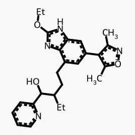 CCOc1nc2c(CCC(CC)C(O)c3ccccn3)cc(-c3c(C)noc3C)cc2[nH]1